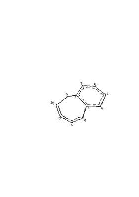 C1=C=Cc2ccccc2CC=1